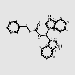 O=C(CCc1ccccc1)OC(c1c[nH]c2ccccc12)c1c[nH]c2ccccc12